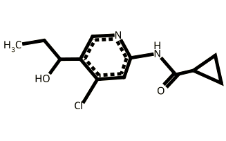 CCC(O)c1cnc(NC(=O)C2CC2)cc1Cl